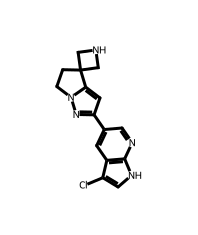 Clc1c[nH]c2ncc(-c3cc4n(n3)CCC43CNC3)cc12